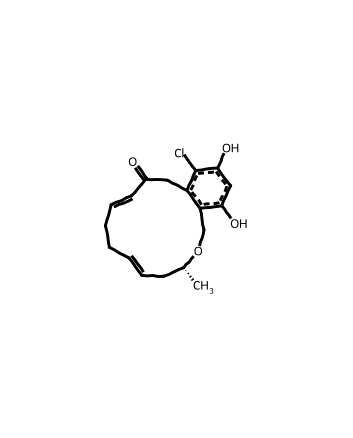 C[C@@H]1C/C=C/CC/C=C/C(=O)Cc2c(Cl)c(O)cc(O)c2CO1